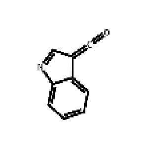 O=C=C1C=Nc2ccccc21